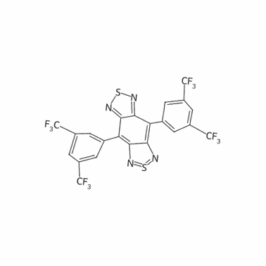 FC(F)(F)c1cc(-c2c3c(c(-c4cc(C(F)(F)F)cc(C(F)(F)F)c4)c4nsnc24)N=S=N3)cc(C(F)(F)F)c1